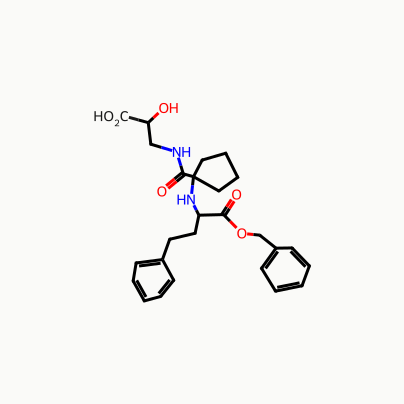 O=C(O)C(O)CNC(=O)C1(NC(CCc2ccccc2)C(=O)OCc2ccccc2)CCCC1